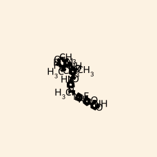 COc1cc(C(=O)NC2CCC(N(C)CCN3CCN(c4ccc(C5CCC(=O)NC5=O)cc4F)CC3)CC2)ccc1Nc1ncc2c(n1)N(C(C)C)CC(F)(F)C(=O)N2C